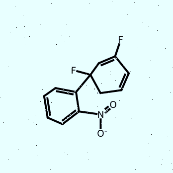 O=[N+]([O-])c1ccccc1C1(F)[CH]C=CC(F)=C1